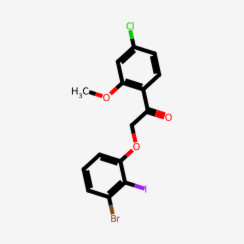 COc1cc(Cl)ccc1C(=O)COc1cccc(Br)c1I